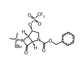 CC(C)(C)[Si](C)(C)N1C(=O)[C@@H]2[C@H]1[C@@H](OS(=O)(=O)C(F)(F)F)CN2C(=O)OCc1ccccc1